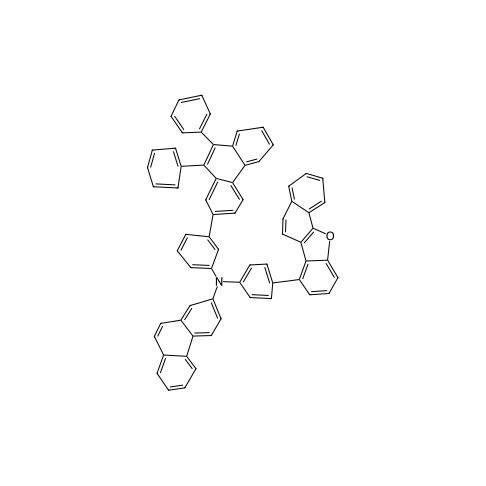 c1ccc(-c2c(-c3ccccc3)c3cc(-c4cccc(N(c5ccc(-c6cccc7oc8c9ccccc9ccc8c67)cc5)c5ccc6c(ccc7ccccc76)c5)c4)ccc3c3ccccc23)cc1